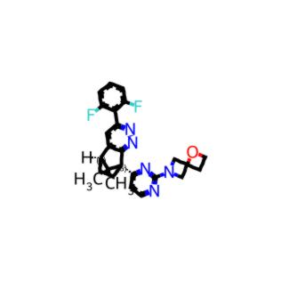 CC1(C)[C@H]2CC[C@]1(c1ccnc(N3CC4(CCO4)C3)n1)c1nnc(-c3c(F)cccc3F)cc12